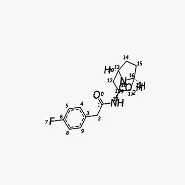 O=C(Cc1ccc(F)cc1)N[C@H]1C[C@H]2CC[C@@H](C1)N2C(=O)O